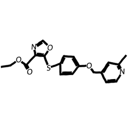 CCOC(=O)c1ncoc1Sc1ccc(OCc2ccnc(C)c2)cc1